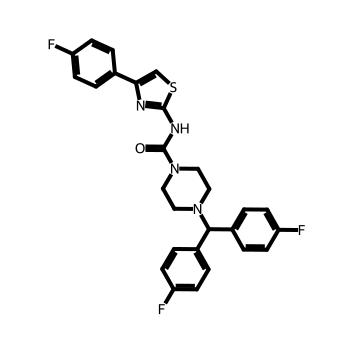 O=C(Nc1nc(-c2ccc(F)cc2)cs1)N1CCN(C(c2ccc(F)cc2)c2ccc(F)cc2)CC1